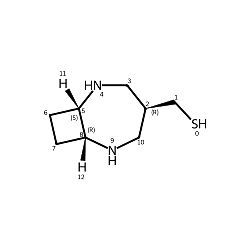 SC[C@@H]1CN[C@H]2CC[C@H]2NC1